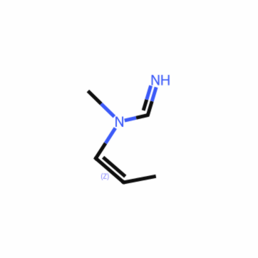 C/C=C\N(C)C=N